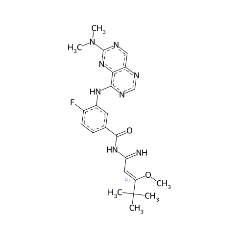 CO/C(=C\C(=N)NC(=O)c1ccc(F)c(Nc2ncnc3cnc(N(C)C)nc23)c1)C(C)(C)C